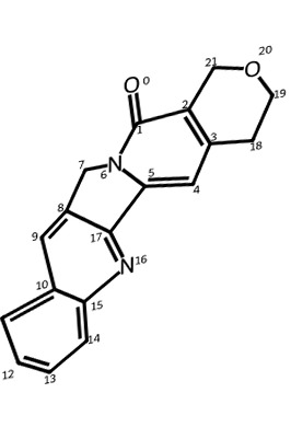 O=c1c2c(cc3n1Cc1cc4ccccc4nc1-3)CCOC2